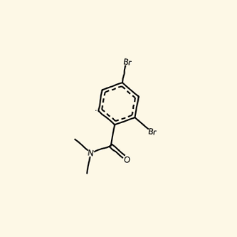 CN(C)C(=O)c1[c]cc(Br)cc1Br